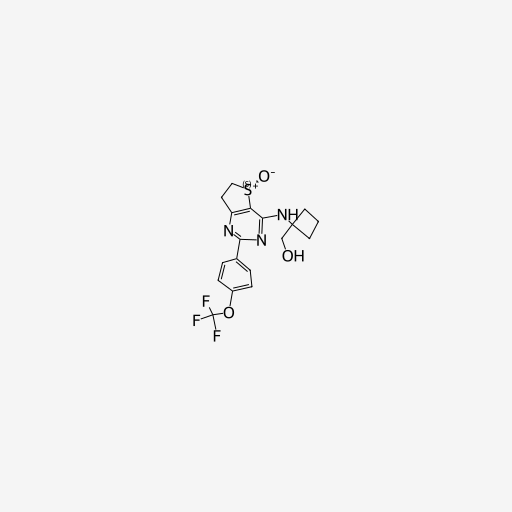 [O-][S@+]1CCc2nc(-c3ccc(OC(F)(F)F)cc3)nc(NC3(CO)CCC3)c21